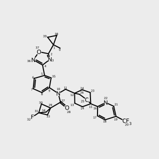 CC1(c2nc(-c3cccc(N(CC45CCC(c6ccc(C(F)(F)F)cn6)(CC4)CC5)C(=O)C45CC(F)(C4)C5)c3)no2)CC1